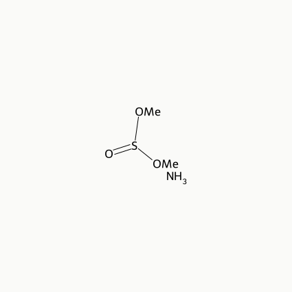 COS(=O)OC.N